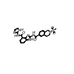 CS(=O)(=O)N1CCc2cc(C(=O)Nc3nc4c(C(=O)Nc5ncc[nH]5)cccc4[nH]3)ccc2C1